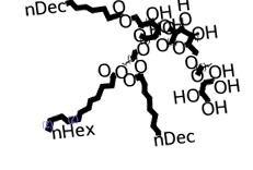 CCCCCC/C=C\C/C=C\CCCCCCC(=O)OC[C@H](CO[C@H]1OC(COC(=O)CCCCCCCCCCCCCCCC)[C@@H](O)C(O)C1O[C@@H]1OC(CO[C@H](CO)OC(CO)C(O)CO)[C@H](O)C(O)C1O)OC(=O)CCCCCCCCCCCCCCCCC